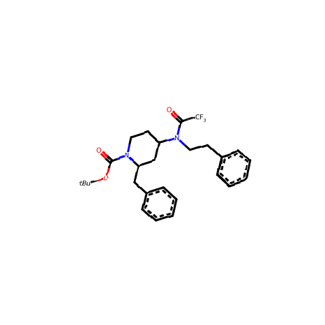 CC(C)(C)OC(=O)N1CCC(N(CCc2ccccc2)C(=O)C(F)(F)F)CC1Cc1ccccc1